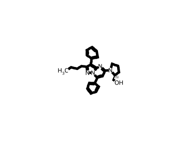 CCCCc1nn2c(-c3ccccc3)cc(N3CCC[C@H]3CO)nc2c1-c1ccccc1